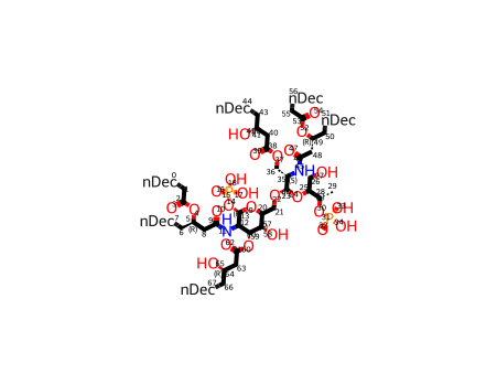 CCCCCCCCCCCC(=O)O[C@H](CCCCCCCCCCC)CC(=O)NC1[C@@H](OP(=O)(O)O)OC(CO[C@H](OC(CO)[C@H](C)OP(=O)(O)O)[C@H](COC(=O)C[C@H](O)CCCCCCCCCCC)NC(=O)C[C@@H](CCCCCCCCCCC)OC(=O)CCCCCCCCCCC)[C@@H](O)[C@@H]1OC(=O)C[C@H](O)CCCCCCCCCCC